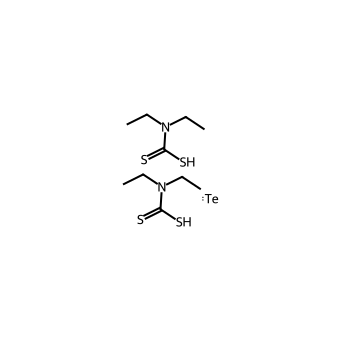 CCN(CC)C(=S)S.CCN(CC)C(=S)S.[Te]